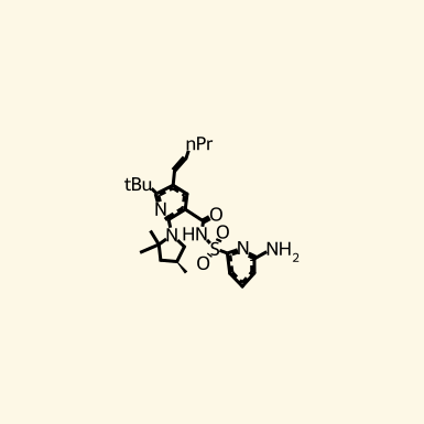 CCCC=Cc1cc(C(=O)NS(=O)(=O)c2cccc(N)n2)c(N2C[C@@H](C)CC2(C)C)nc1C(C)(C)C